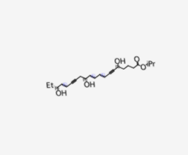 CC[C@@H](O)/C=C/C#CC[C@@H](O)/C=C/C=C/C#C[C@@H](O)CCCC(=O)OC(C)C